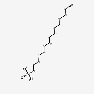 Cl[Si](Cl)(Cl)CCCCCCCCCCCCCCI